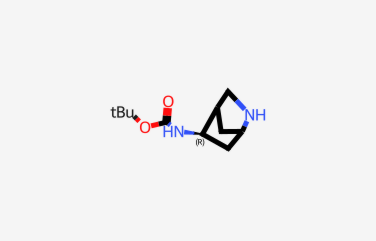 CC(C)(C)OC(=O)N[C@@H]1CC2CC1CN2